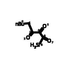 CCCCCC(=O)C(=O)C(=O)[SiH3]